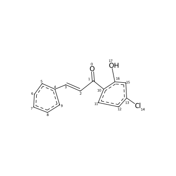 O=C(C=Cc1ccccc1)c1ccc(Cl)cc1O